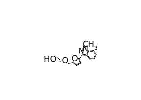 Cn1nc(-c2ccc(COCCO)o2)c2ccccc21